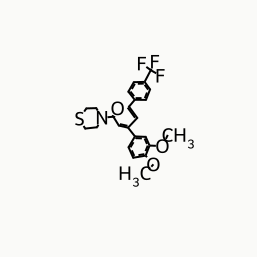 COc1ccc(C(C=Cc2ccc(C(F)(F)F)cc2)=CC(=O)N2CCSCC2)cc1OC